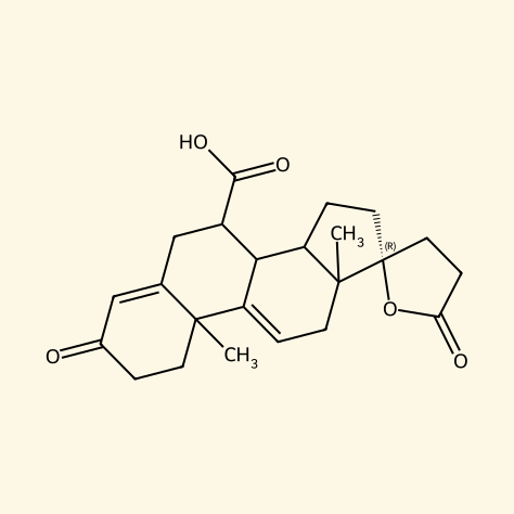 CC12CCC(=O)C=C1CC(C(=O)O)C1C2=CCC2(C)C1CC[C@@]21CCC(=O)O1